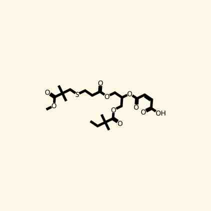 CCC(C)(C)C(=O)OCC(COC(=O)CCSCC(C)(C)C(=O)OC)OC(=O)/C=C\C(=O)O